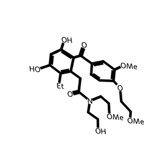 CCc1c(O)cc(O)c(C(=O)c2ccc(OCCOC)c(OC)c2)c1CC(=O)N(CCO)CCOC